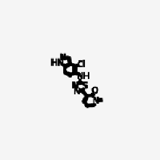 Cn1cccc(-c2nnc(Nc3ccc4[nH]ncc4c3Cl)s2)c1=O